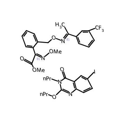 CCCOc1nc2ccc(I)cc2c(=O)n1CCC.CO/N=C(/C(=O)OC)c1ccccc1CO/N=C(\C)c1cccc(C(F)(F)F)c1